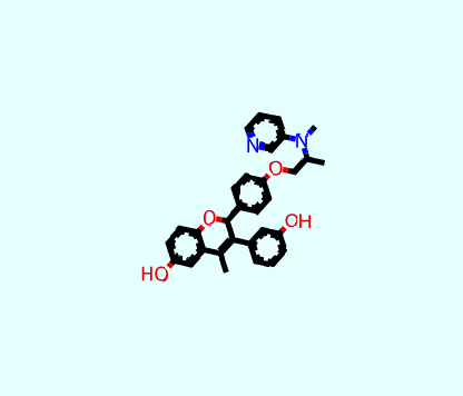 CC1=C(c2cccc(O)c2)C(c2ccc(OCC(C)N(C)c3cccnc3)cc2)Oc2ccc(O)cc21